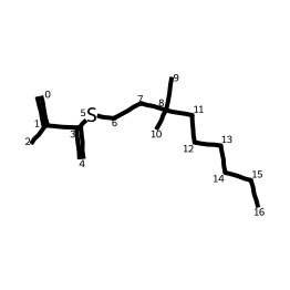 C=C(C)C(=C)SCCC(C)(C)CCCCCC